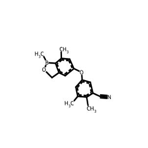 CB1OCc2cc(Oc3cc(C)c(C)c(C#N)c3)cc(C)c21